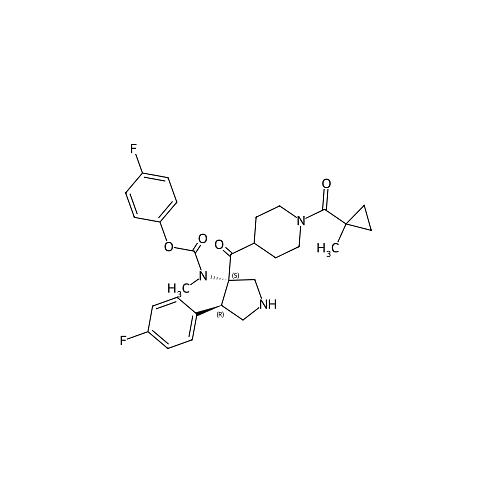 CN(C(=O)Oc1ccc(F)cc1)[C@]1(C(=O)C2CCN(C(=O)C3(C)CC3)CC2)CNC[C@H]1c1ccc(F)cc1